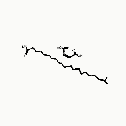 CC(C)=CCCCCCCCCCCCCCCCCCC(N)=O.O=C(O)/C=C\C(=O)O